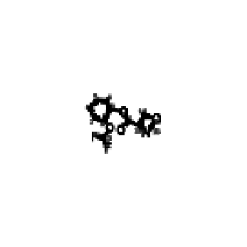 O=C(Oc1ccccc1OC(F)F)c1cocn1